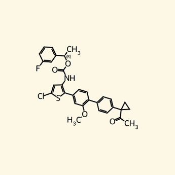 COc1cc(-c2sc(Cl)cc2NC(=O)O[C@H](C)c2cccc(F)c2)ccc1-c1ccc(C2(C(C)=O)CC2)cc1